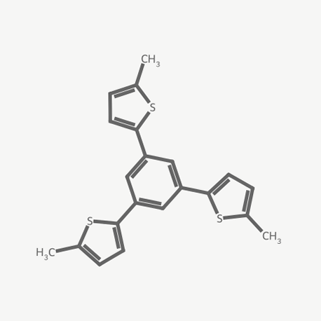 Cc1ccc(-c2cc(-c3ccc(C)s3)cc(-c3ccc(C)s3)c2)s1